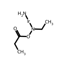 CCC(=O)O[N](CC)[Ir][NH2]